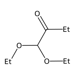 CCOC(OCC)C(=O)CC